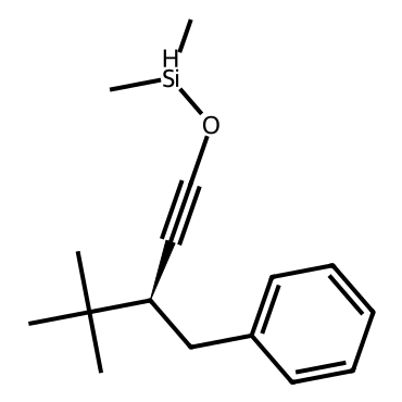 C[SiH](C)OC#C[C@@H](Cc1ccccc1)C(C)(C)C